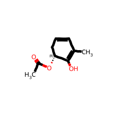 CC(=O)O[C@@H]1CC=CC(C)=C1O